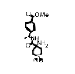 COC(=O)c1ccc([C@H](C)NC(=O)C2(N)CCS(=O)(=O)CC2)cc1